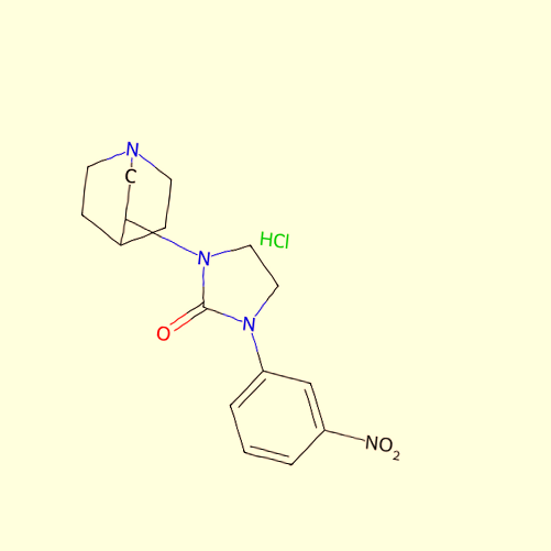 Cl.O=C1N(c2cccc([N+](=O)[O-])c2)CCN1C1CN2CCC1CC2